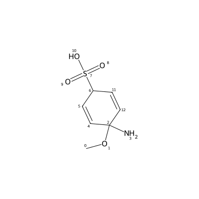 COC1(N)C=CC(S(=O)(=O)O)C=C1